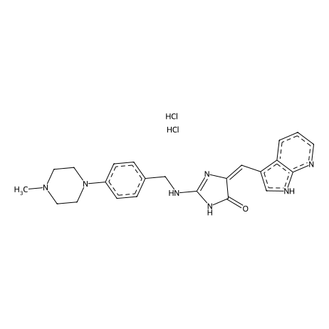 CN1CCN(c2ccc(CNC3=NC(=Cc4c[nH]c5ncccc45)C(=O)N3)cc2)CC1.Cl.Cl